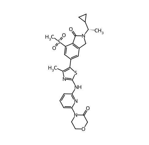 Cc1nc(Nc2cccc(N3CCOCC3=O)n2)sc1-c1cc2c(c(S(C)(=O)=O)c1)C(=O)N([C@@H](C)C1CC1)C2